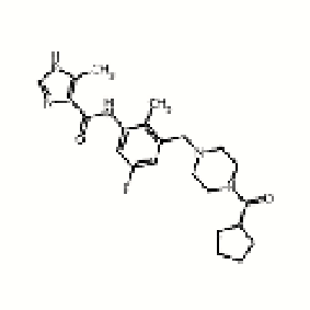 Cc1[pH]cnc1C(=O)Nc1cc(F)cc(CN2CCN(C(=O)C3CCCC3)CC2)c1C